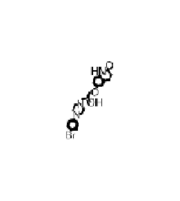 O=C1CCc2cc(OC[C@@H](O)CN3CCN(c4ccc(Br)cc4)CC3)ccc2N1